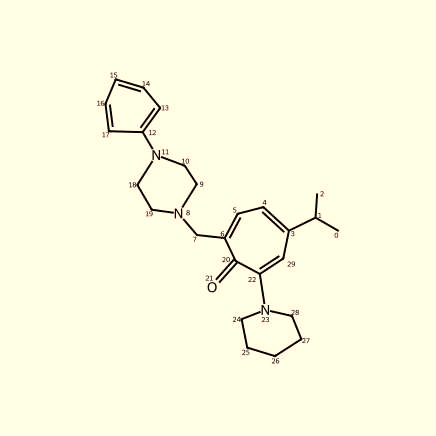 CC(C)c1ccc(CN2CCN(c3ccccc3)CC2)c(=O)c(N2CCCCC2)c1